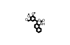 COc1cc(C2OC(=O)Nc3c2ccc2ccccc32)cc(C=O)c1OC